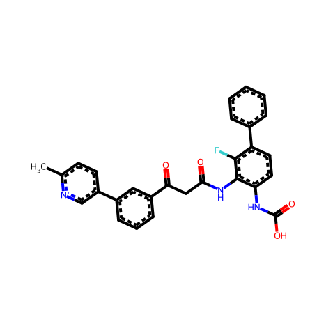 Cc1ccc(-c2cccc(C(=O)CC(=O)Nc3c(NC(=O)O)ccc(-c4ccccc4)c3F)c2)cn1